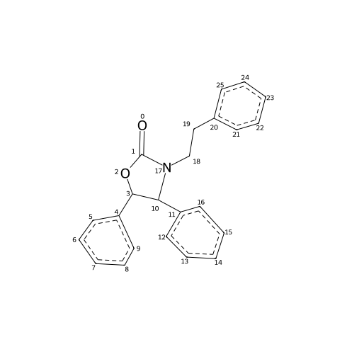 O=C1OC(c2ccccc2)C(c2ccccc2)N1CCc1ccccc1